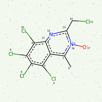 Cc1c2c(Cl)c(Cl)c(Cl)c(Cl)c2nc(CCl)[n+]1[O-]